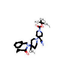 CC(C)(C)OC(=O)N1CCC(C#N)(N2CCC(C)(N(Cc3ccccc3)C(=O)C3CC3)CC2)CC1